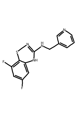 Fc1cc(F)c2c(c1)NC(NCc1cccnc1)=NS2